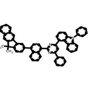 CC1(C)c2ccc(-c3ccc(-c4nc(-c5ccccc5)cc(-c5cccc6c5c5ccccc5n6-c5ccccc5)n4)c4ccccc34)cc2-c2cc3ccccc3cc21